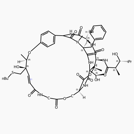 CCCCSC[C@@]1(O)/C=C/C(=O)NCC(=O)OC[C@@H]2NC(=O)[C@@H]([C@@H](C)O)NC(=O)[C@H](Cc3ccccc3)N(C)C(=O)C(NC(=O)[C@@H]([C@@H](C)CC)NC(=O)[C@@H](NC(=O)[C@H](C)[C@H](O)C(C)C)[C@@H](C)OC2=O)c2ccc(cc2)O[C@@H]1C